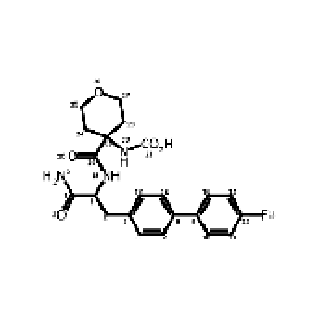 NC(=O)C(Cc1ccc(-c2ccc(F)cc2)cc1)NC(=O)C1(NC(=O)O)CCOCC1